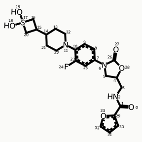 O=C(NCC1CN(c2ccc(N3CCC(C4CS(O)(O)C4)CC3)c(F)c2)C(=O)O1)c1ccco1